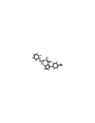 Cc1noc(-c2ccc(Br)cc2)c1NC(C)C1CC1c1ccccc1